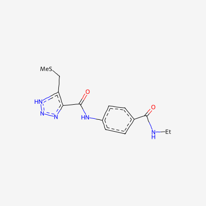 CCNC(=O)c1ccc(NC(=O)c2nn[nH]c2CSC)cc1